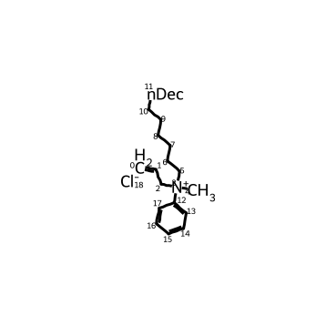 C=CC[N+](C)(CCCCCCCCCCCCCCCC)c1ccccc1.[Cl-]